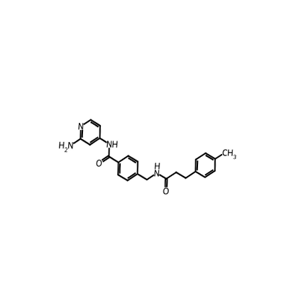 Cc1ccc(CCC(=O)NCc2ccc(C(=O)Nc3ccnc(N)c3)cc2)cc1